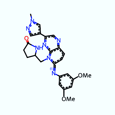 COc1cc(/N=c2\ccc3ncc(-c4cnn(C)c4)nc3n2CC2CCC(=O)N2)cc(OC)c1